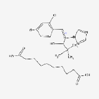 CC(C)(C)C(O)/C(=C\c1ccc(Cl)cc1Cl)n1cncn1.O=C(O)CCCCCCCCC(=O)O